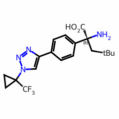 CC(C)(C)C[C@](N)(C(=O)O)c1ccc(-c2cn(C3(C(F)(F)F)CC3)nn2)cc1